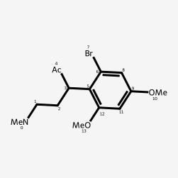 CNCCC(C(C)=O)c1c(Br)cc(OC)cc1OC